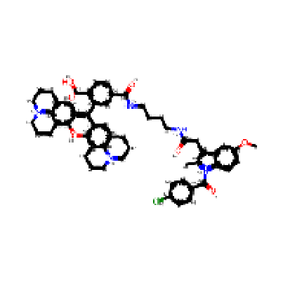 COc1ccc2c(c1)c(CC(=O)NCCCCNC(=O)c1ccc(C(=O)O)c(C3=c4cc5c6c(c4Oc4c3cc3c7c4CCCN7CCC3)CCC[N+]=6CCC5)c1)c(C)n2C(=O)c1ccc(Cl)cc1